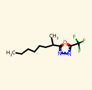 CCCCCCC(C)c1nnc(C(F)(F)F)o1